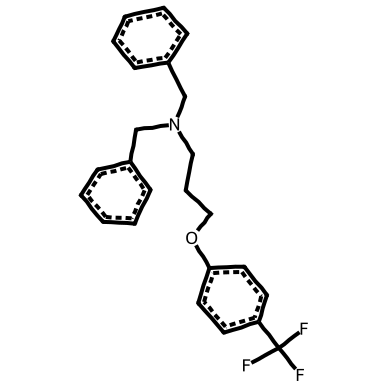 FC(F)(F)c1ccc(OCCCN(Cc2ccccc2)Cc2ccccc2)cc1